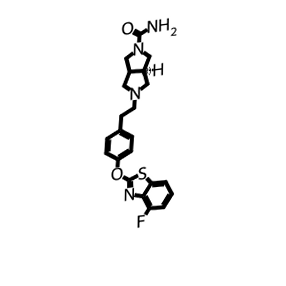 NC(=O)N1CC2CN(CCc3ccc(Oc4nc5c(F)cccc5s4)cc3)C[C@@H]2C1